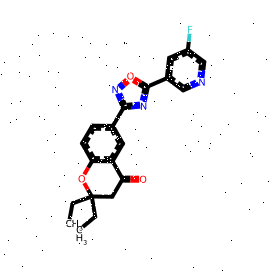 CCC1(CC)CC(=O)c2cc(-c3noc(-c4cncc(F)c4)n3)ccc2O1